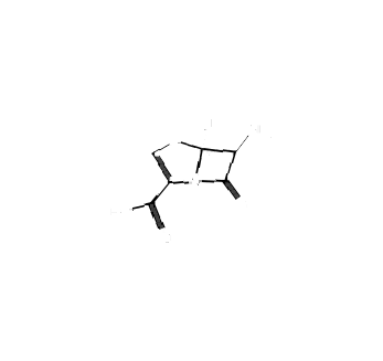 NC1C(=O)N2C(C(=O)O)=CS[C@@H]12